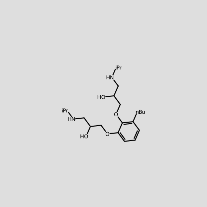 CCCCc1cccc(OCC(O)CNC(C)C)c1OCC(O)CNC(C)C